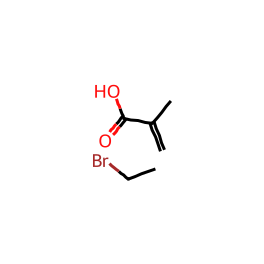 C=C(C)C(=O)O.CCBr